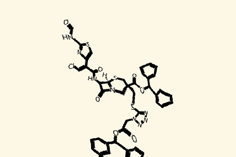 O=CNc1nc(C(=CCl)C(=O)NC2C(=O)N3CC(CSc4nnnn4CC(=O)OC(c4ccccc4)c4ccccc4)(C(=O)OC(c4ccccc4)c4ccccc4)CS[C@H]23)cs1